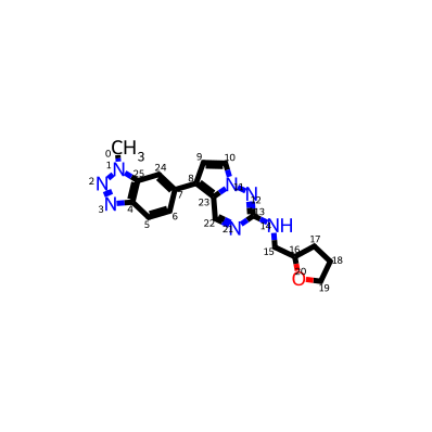 Cn1nnc2ccc(-c3ccn4nc(NCC5CCCO5)ncc34)cc21